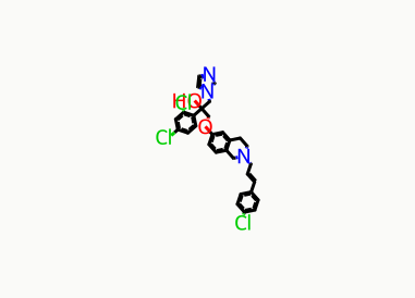 OC(COc1ccc2c(c1)CCN(CC=Cc1ccc(Cl)cc1)C2)(Cn1ccnc1)c1ccc(Cl)cc1Cl